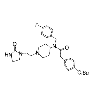 CC(C)COc1ccc(CC(=O)N(Cc2ccc(F)cc2)C2CCN(CCN3CCNC3=O)CC2)cc1